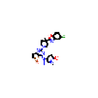 CN1CC(Nc2nc(N3CCC(C)(c4nc5cc(F)ccc5o4)CC3)nc3c2[S+]([O-])CC3)CCC1=O